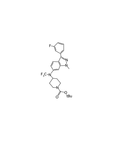 Cn1nc(-c2cccc(F)c2)c2ccc(N(C3CCN(C(=O)OC(C)(C)C)CC3)C(F)(F)F)cc21